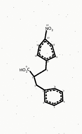 O=C(O)C(Cc1ccccc1)Cc1ccc([N+](=O)[O-])cc1